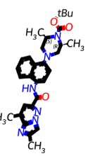 Cc1cn2nc(C(=O)Nc3ccc(N4C[C@@H](C)N(C(=O)OC(C)(C)C)[C@@H](C)C4)c4ccccc34)cc(C)c2n1